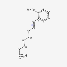 COc1ccccc1/C=C/CCCCCC(=O)O